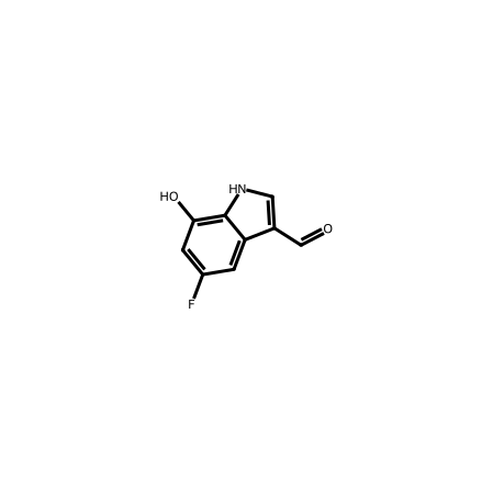 O=Cc1c[nH]c2c(O)cc(F)cc12